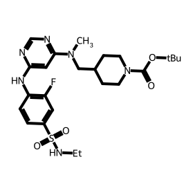 CCNS(=O)(=O)c1ccc(Nc2cc(N(C)CC3CCN(C(=O)OC(C)(C)C)CC3)ncn2)c(F)c1